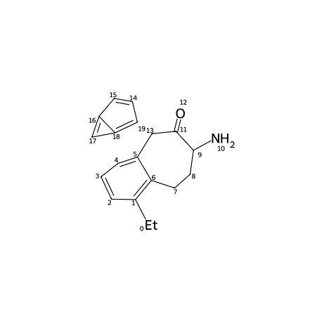 CCc1cccc2c1CCC(N)C(=O)C2.c1cc2cc-2c1